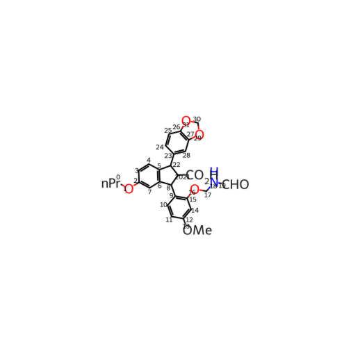 CCCOc1ccc2c(c1)C(c1ccc(OC)cc1OCNC=O)C(C(=O)O)C2c1ccc2c(c1)OCO2